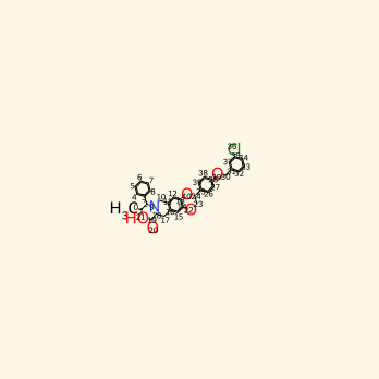 CC[C@@H](c1ccccc1)N1Cc2cc3c(cc2C[C@H]1C(=O)O)OC[C@H](c1ccc(OCc2cccc(Cl)c2)cc1)O3